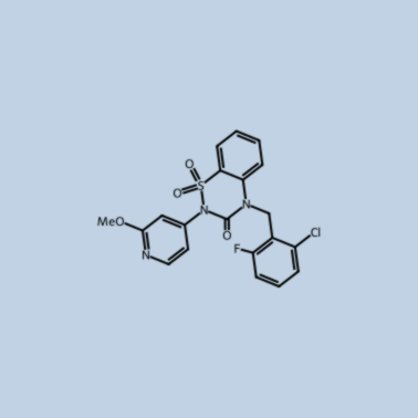 COc1cc(N2C(=O)N(Cc3c(F)cccc3Cl)c3ccccc3S2(=O)=O)ccn1